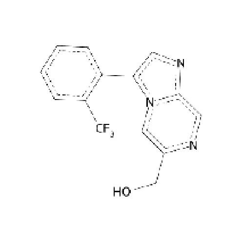 OCc1cn2c(-c3ccccc3C(F)(F)F)cnc2cn1